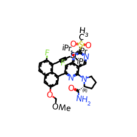 COCOc1cc(-c2nc(N3CCC[C@@H]3C(N)=O)c3cnc(S(C)(=O)=O)nc3c2F)c2c(C#C[Si](C(C)C)(C(C)C)C(C)C)c(F)ccc2c1